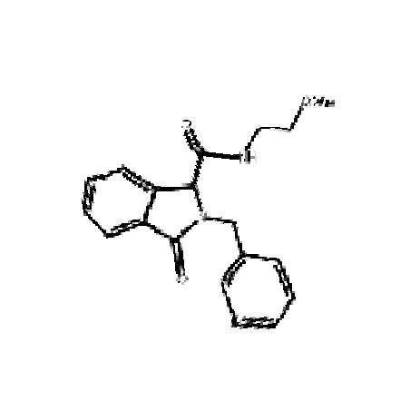 COCCNC(=O)C1c2ccccc2C(=O)N1Cc1ccccc1